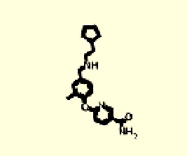 Cc1cc(CNCCC2CCCC2)ccc1Oc1ccc(C(N)=O)cn1